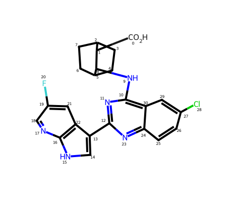 O=C(O)C1C2CCC(CC2)C1Nc1nc(-c2c[nH]c3ncc(F)cc23)nc2ccc(Cl)cc12